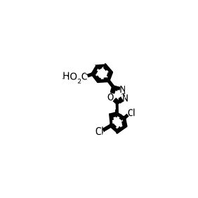 O=C(O)c1cccc(-c2nnc(-c3cc(Cl)ccc3Cl)o2)c1